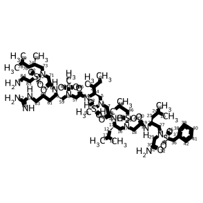 CCC(C)[C@@H](CN(CC(=O)N[C@@H](CC(C)C)CN(CC(=O)N[C@@H](CC(C)C)CN(CC(N)=O)S(=O)(=O)Cc1ccccc1)S(=O)(=O)CC(C)C)S(C)(=O)=O)NC(=O)CN(C[C@H](CCCNC(=N)N)NC(=O)CN(C[C@@H](C)CC(C)C)S(=O)(=O)CCN)S(C)(=O)=O